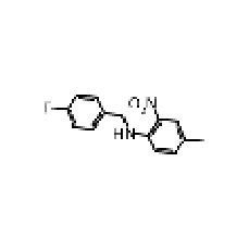 Cc1ccc(NCc2ccc(F)cc2)c([N+](=O)[O-])c1